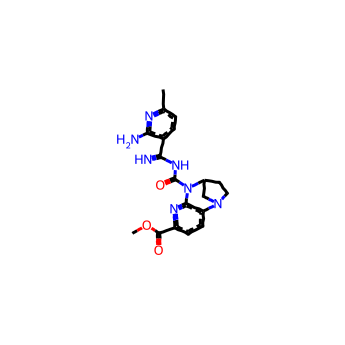 COC(=O)c1ccc2c(n1)N(C(=O)NC(=N)c1ccc(C)nc1N)C1CCN2C1